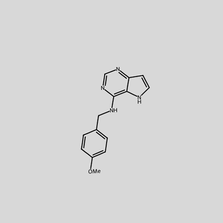 COc1ccc(CNc2ncnc3cc[nH]c23)cc1